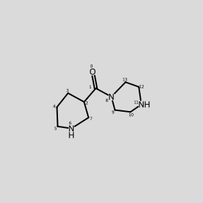 O=C(C1CCCNC1)N1CCNCC1